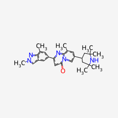 Cc1cc(-c2cc(=O)n3cc(C4CC(C)(C)NC(C)(C)C4)cc(C)c3n2)cc2cn(C)nc12